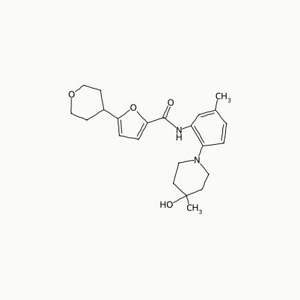 Cc1ccc(N2CCC(C)(O)CC2)c(NC(=O)c2ccc(C3CCOCC3)o2)c1